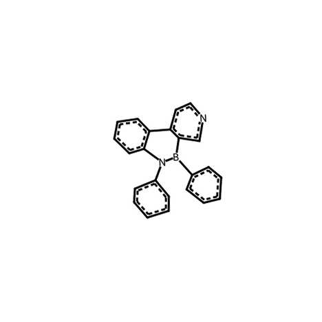 c1ccc(B2c3cnccc3-c3ccccc3N2c2ccccc2)cc1